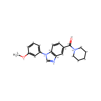 COc1cccc(-n2cnc3cc(C(=O)N4CCCCC4)ccc32)c1